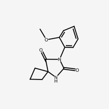 COc1ccccc1N1C(=O)NC2(CCC2)C1=O